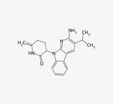 C=C1CCC(n2c3ccccc3c3cc(C(C)C)c(N)nc32)C(=O)N1